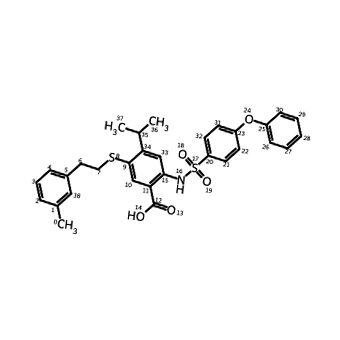 Cc1cccc(CCSc2cc(C(=O)O)c(NS(=O)(=O)c3ccc(Oc4ccccc4)cc3)cc2C(C)C)c1